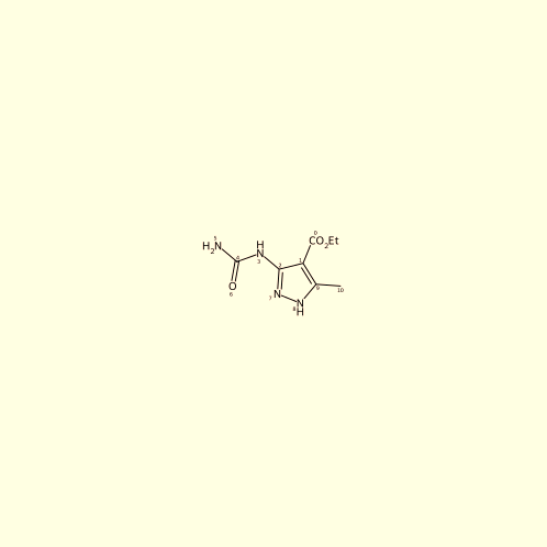 CCOC(=O)c1c(NC(N)=O)n[nH]c1C